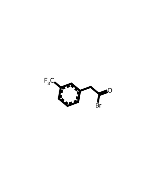 O=C(Br)Cc1cccc(C(F)(F)F)c1